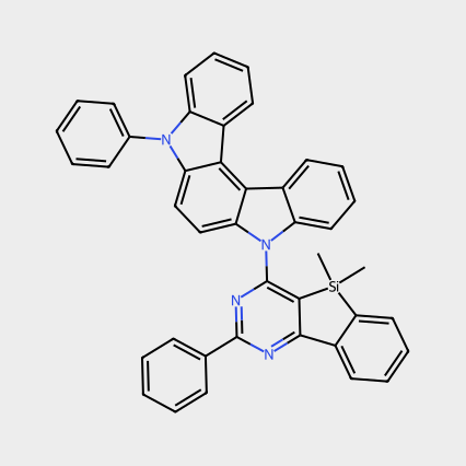 C[Si]1(C)c2ccccc2-c2nc(-c3ccccc3)nc(-n3c4ccccc4c4c5c6ccccc6n(-c6ccccc6)c5ccc43)c21